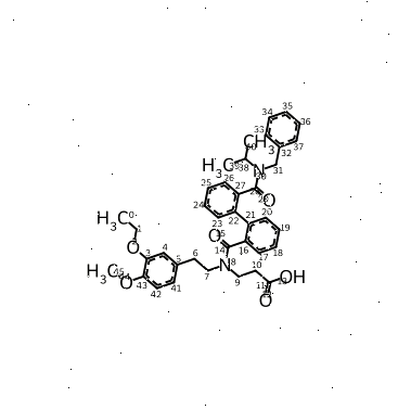 CCOc1cc(CCN(CCC(=O)O)C(=O)c2ccccc2-c2ccccc2C(=O)N(Cc2ccccc2)C(C)C)ccc1OC